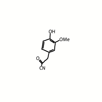 COc1cc(CC(=O)C#N)ccc1O